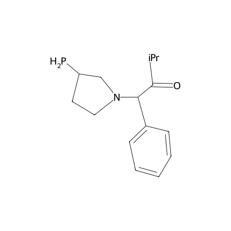 CC(C)C(=O)C(c1ccccc1)N1CCC(P)C1